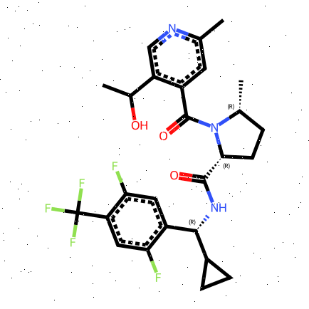 Cc1cc(C(=O)N2[C@H](C)CC[C@@H]2C(=O)N[C@@H](c2cc(F)c(C(F)(F)F)cc2F)C2CC2)c(C(C)O)cn1